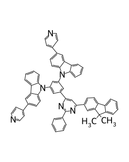 CC1(C)c2ccccc2-c2ccc(-c3cc(-c4cc(-n5c6ccccc6c6cc(-c7ccncc7)ccc65)cc(-n5c6ccccc6c6cc(-c7ccncc7)ccc65)c4)nc(-c4ccccc4)n3)cc21